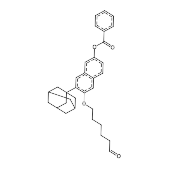 O=CCCCCCOc1cc2ccc(OC(=O)c3ccccc3)cc2cc1C12CC3CC(CC(C3)C1)C2